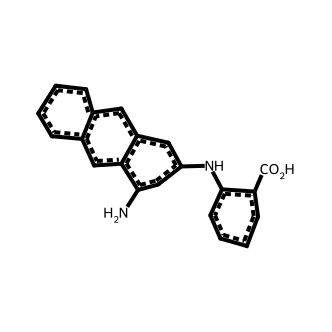 Nc1cc(Nc2ccccc2C(=O)O)cc2cc3ccccc3cc12